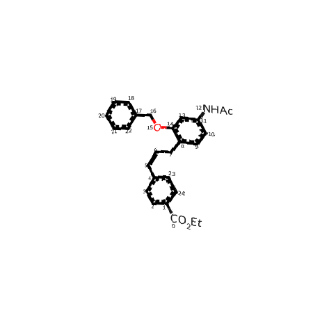 CCOC(=O)c1ccc(/C=C\Cc2ccc(NC(C)=O)cc2OCc2ccccc2)cc1